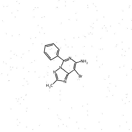 Cc1nc2c(Br)c(N)nc(-c3ccccc3)n2n1